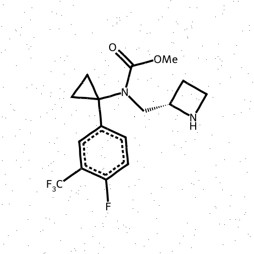 COC(=O)N(C[C@@H]1CCN1)C1(c2ccc(F)c(C(F)(F)F)c2)CC1